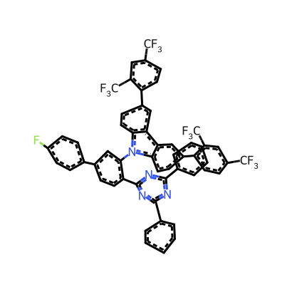 Fc1ccc(-c2ccc(-c3nc(-c4ccccc4)nc(-c4ccccc4)n3)c(-n3c4ccc(-c5ccc(C(F)(F)F)cc5C(F)(F)F)cc4c4cc(-c5ccc(C(F)(F)F)cc5C(F)(F)F)ccc43)c2)cc1